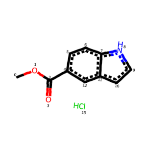 COC(=O)c1ccc2[nH]ccc2c1.Cl